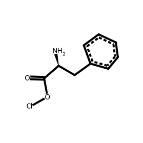 N[C@@H](Cc1ccccc1)C(=O)OCl